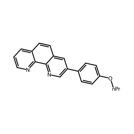 CCCOc1ccc(-c2cnc3c(ccc4cccnc43)c2)cc1